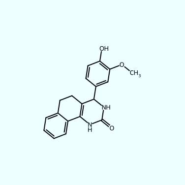 COc1cc(C2NC(=O)NC3=C2CCc2ccccc23)ccc1O